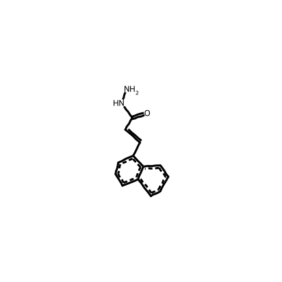 NNC(=O)C=Cc1cccc2ccccc12